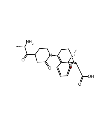 C[C@H](N)C(=O)C1CCN(C2=C3C=CC=CC34C(=O)C(C(=O)O)C=C[N@+]4(C)CC2)C(=O)C1